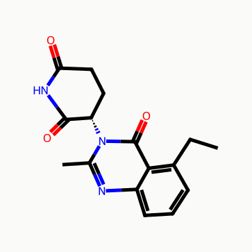 CCc1cccc2nc(C)n([C@H]3CCC(=O)NC3=O)c(=O)c12